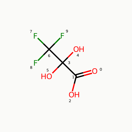 O=C(O)C(O)(O)C(F)(F)F